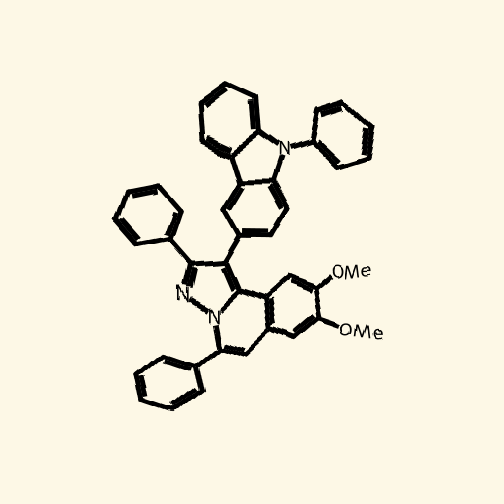 COc1cc2cc(-c3ccccc3)n3nc(-c4ccccc4)c(-c4ccc5c(c4)c4ccccc4n5-c4ccccc4)c3c2cc1OC